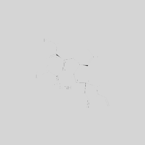 C=CCO[C@@](C)(CC=C)[C@H](NC(C)=O)[C@H]1[C@H](/C=C\C)C[C@H](C(=O)OC(C)(C)C)N1C(=O)OC(C)(C)C